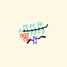 C=CCNCC=C.CCC(F)(F)C(F)(F)C(F)(F)C(F)(F)C(F)(F)C(F)(F)S(=O)(=O)O